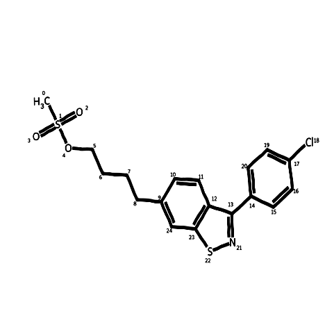 CS(=O)(=O)OCCCCc1ccc2c(-c3ccc(Cl)cc3)nsc2c1